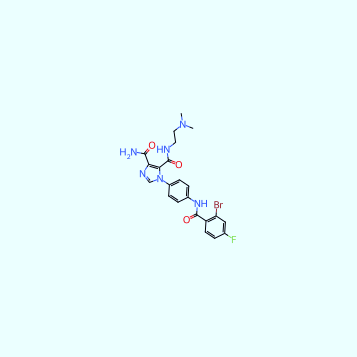 CN(C)CCNC(=O)c1c(C(N)=O)ncn1-c1ccc(NC(=O)c2ccc(F)cc2Br)cc1